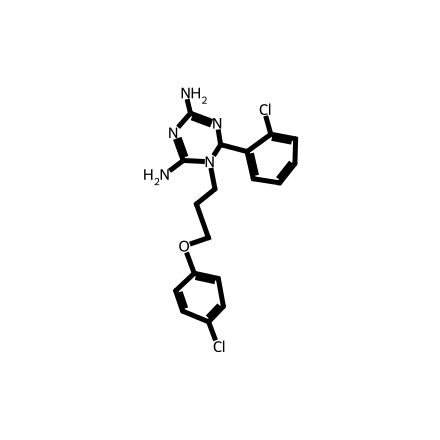 NC1=NC(c2ccccc2Cl)N(CCCOc2ccc(Cl)cc2)C(N)=N1